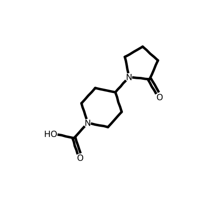 O=C(O)N1CCC(N2CCCC2=O)CC1